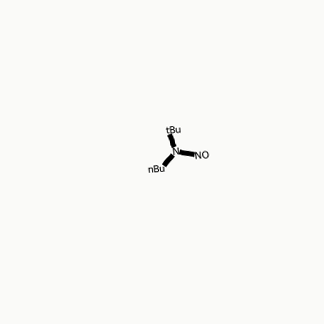 CCCCN(N=O)C(C)(C)C